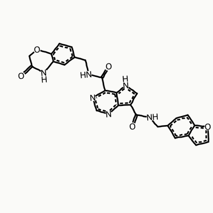 O=C1COc2ccc(CNC(=O)c3ncnc4c(C(=O)NCc5ccc6occc6c5)c[nH]c34)cc2N1